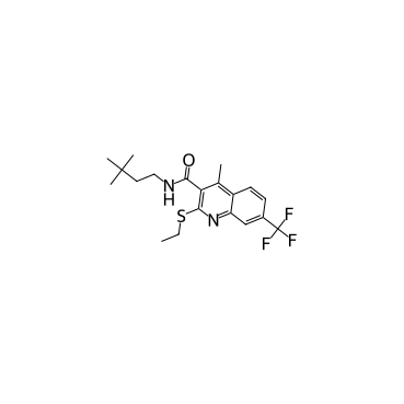 CCSc1nc2cc(C(F)(F)F)ccc2c(C)c1C(=O)NCCC(C)(C)C